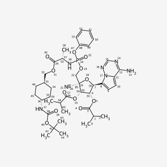 CC(C)C(=O)O[C@H]1[C@H](c2ccc3c(N)ncnn23)O[C@](C#N)(COP(=O)(N[C@@H](C)C(=O)OC[C@H]2CC[C@H](NC(=O)OC(C)(C)C)CC2)Oc2ccccc2)[C@H]1OC(=O)C(C)C